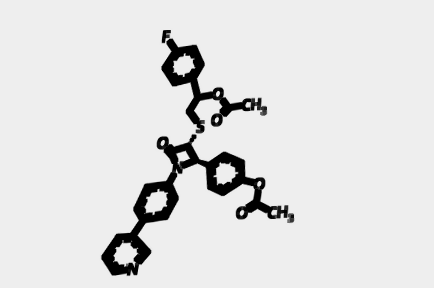 CC(=O)Oc1ccc([C@@H]2[C@@H](SCC(OC(C)=O)c3ccc(F)cc3)C(=O)N2c2ccc(-c3cccnc3)cc2)cc1